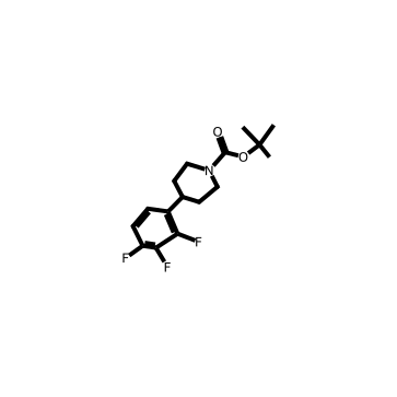 CC(C)(C)OC(=O)N1CCC(c2ccc(F)c(F)c2F)CC1